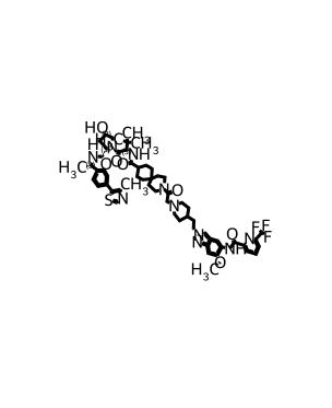 COc1cc2nn(CCC3CCN(CC(=O)N4CCC5(CCC(C(=O)N[C@H](C(=O)N6C[C@H](O)C[C@H]6C(=O)N[C@@H](C)c6ccc(-c7scnc7C)cc6)C(C)(C)C)CC5)CC4)CC3)cc2cc1NC(=O)c1cccc(C(F)(F)F)n1